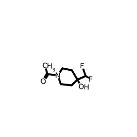 CC(=O)N1CCC(O)(C(F)F)CC1